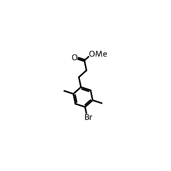 COC(=O)CCc1cc(C)c(Br)cc1C